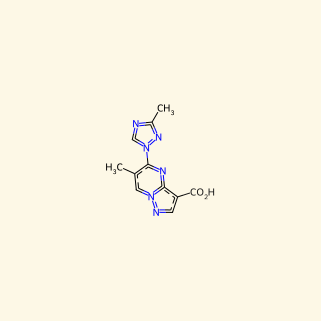 Cc1ncn(-c2nc3c(C(=O)O)cnn3cc2C)n1